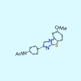 COc1ccc2sc3nc(-c4ccc(NC(C)=O)cc4)cn3c2c1